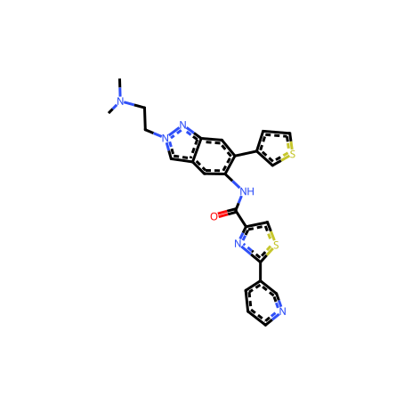 CN(C)CCn1cc2cc(NC(=O)c3csc(-c4cccnc4)n3)c(-c3ccsc3)cc2n1